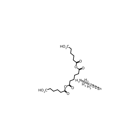 N.N.N.N.O=C(O)CCCCC(=O)OC(=O)CCCCC(=O)OC(=O)CCCCC(=O)O.[Zn].[Zn].[Zn].[Zn]